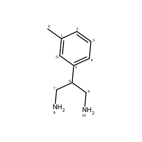 Cc1cccc(C(CN)CN)c1